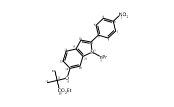 CCCn1c(-c2ccc([N+](=O)[O-])cc2)cc2ccc(OC(C)(C)C(=O)OCC)cc21